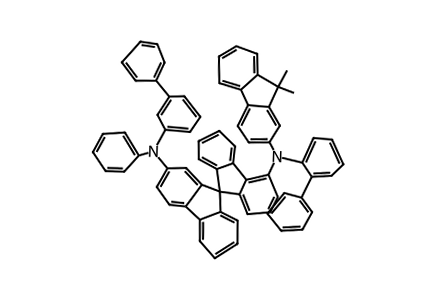 CC1(C)c2ccccc2-c2ccc(N(c3ccccc3-c3ccccc3)c3cccc4c3-c3ccccc3C43c4ccccc4-c4ccc(N(c5ccccc5)c5cccc(-c6ccccc6)c5)cc43)cc21